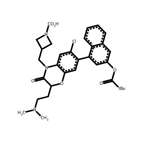 CN(C)CCC1Oc2cc(-c3cc(OC(=O)C(C)(C)C)cc4ccccc34)c(Cl)cc2N(CC2CN(C(=O)O)C2)C1=O